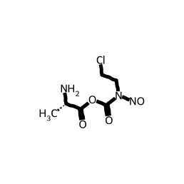 C[C@H](N)C(=O)OC(=O)N(CCCl)N=O